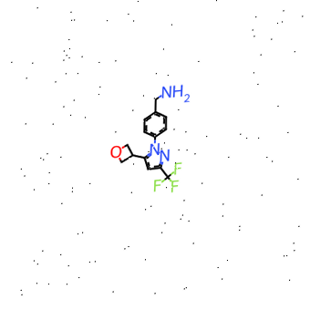 NCc1ccc(-n2nc(C(F)(F)F)cc2C2COC2)cc1